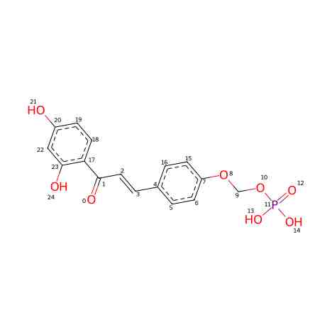 O=C(C=Cc1ccc(OCOP(=O)(O)O)cc1)c1ccc(O)cc1O